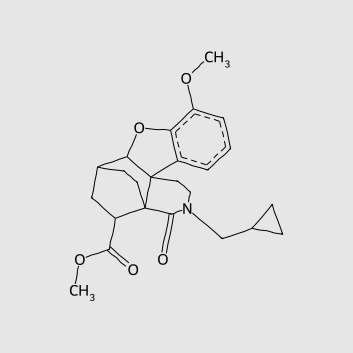 COC(=O)C1CC2CCC13C(=O)N(CC1CC1)CCC31c3cccc(OC)c3OC21